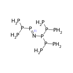 PP(P)/P=N/P(P(P)P)P(P)P